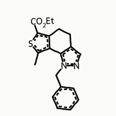 CCOC(=O)c1sc(C)c2c1CCc1cnn(Cc3ccccc3)c1-2